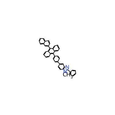 Cn1c(-c2ccccc2)nc2cc(-c3ccc(-c4c5ccccc5c(-c5ccc6ccccc6c5)c5ccccc45)cc3)ccc21